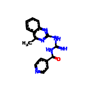 Cc1nc(NC(=N)NC(=O)c2ccncc2)nc2ccccc12